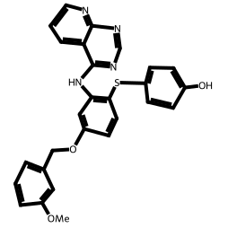 COc1cccc(COc2ccc(Sc3ccc(O)cc3)c(Nc3ncnc4ncccc34)c2)c1